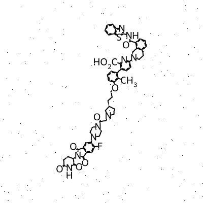 Cc1c(OCCC[C@H]2CCN(CC(=O)N3CCN(c4cc5c(cc4F)C(=O)N(C4CCC(=O)NC4=O)C5=O)CC3)C2)cccc1-c1ccc(N2CCc3cccc(C(=O)Nc4nc5ccccc5s4)c3C2)nc1C(=O)O